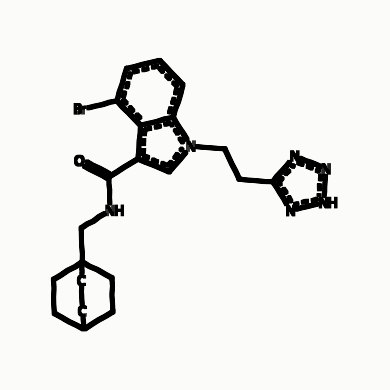 O=C(NCC12CCC(CC1)CC2)c1cn(CCc2nn[nH]n2)c2cccc(Br)c12